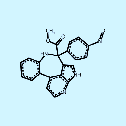 COC(=O)C1(c2ccc(N=O)cc2)Nc2ccccc2-c2ccnc3[nH]cc1c23